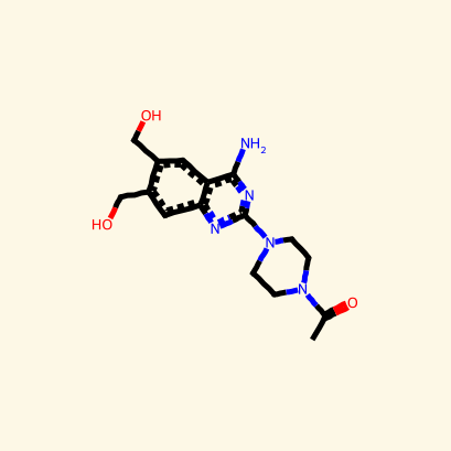 CC(=O)N1CCN(c2nc(N)c3cc(CO)c(CO)cc3n2)CC1